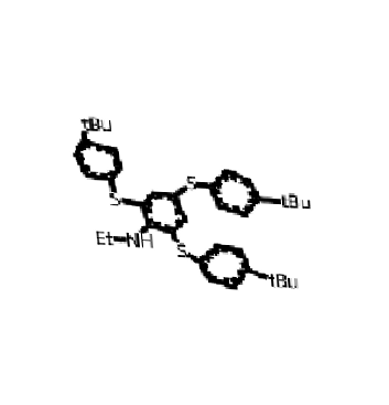 CCNc1c(Sc2ccc(C(C)(C)C)cc2)cc(Sc2ccc(C(C)(C)C)cc2)cc1Sc1ccc(C(C)(C)C)cc1